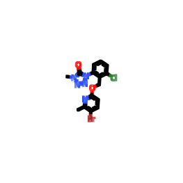 Cc1nc(OCc2c(Cl)cccc2-n2nnn(C)c2=O)ccc1Br